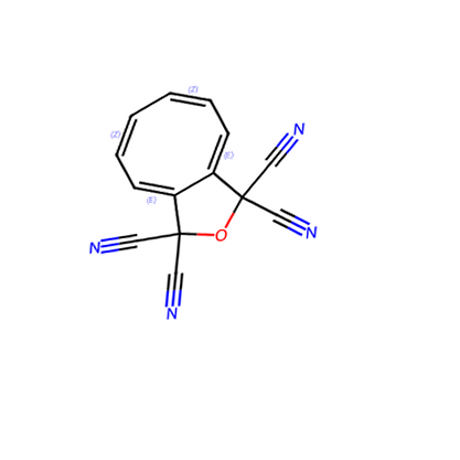 N#CC1(C#N)OC(C#N)(C#N)C2=C/C=C\C=C/C=C\21